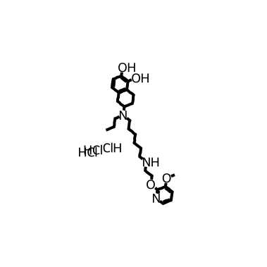 CCCN(CCCCCCNCCOc1ncccc1OC)C1CCc2c(ccc(O)c2O)C1.Cl.Cl.Cl